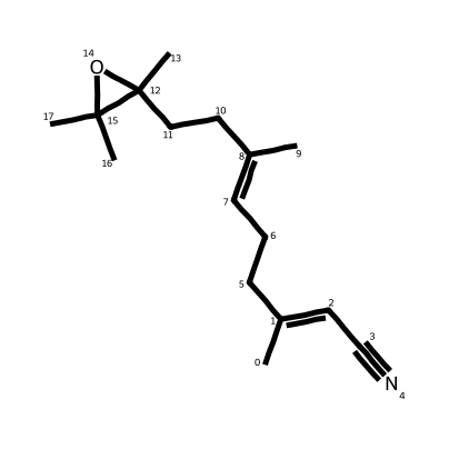 CC(=CC#N)CCC=C(C)CCC1(C)OC1(C)C